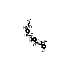 CCn1c(C)c(/C=C2\Oc3ccc(NC(=O)Nc4ccc(NC(=O)CCN(C)C)cc4)cc3C2=O)c2cc(OC)ccc21